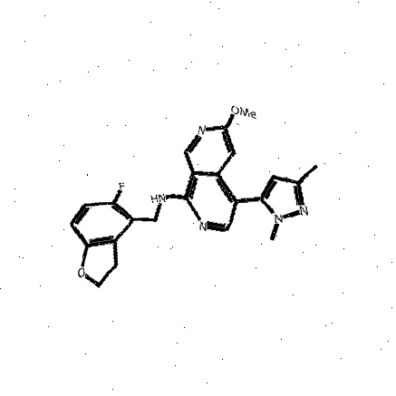 COc1cc2c(-c3cc(C)nn3C)cnc(NCc3c(F)ccc4c3CCO4)c2cn1